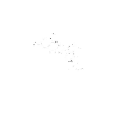 CNS(=O)(=O)c1ccc(S(=O)(=O)NC(=O)Nc2c(C(C)C)cc(C#N)cc2C(C)C)c(C(=O)O)c1